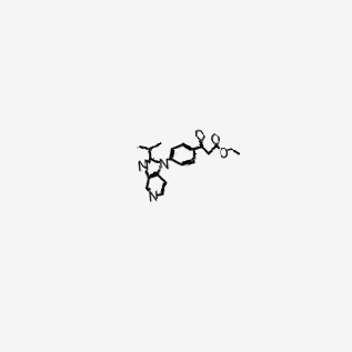 CCOC(=O)CC(=O)c1ccc(-n2c(C(C)C)nc3cnccc32)cc1